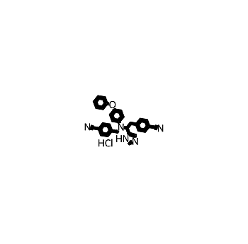 Cl.N#Cc1ccc(CC(c2cnc[nH]2)N(Cc2ccc(C#N)cc2)c2ccc(Oc3ccccc3)cc2)cc1